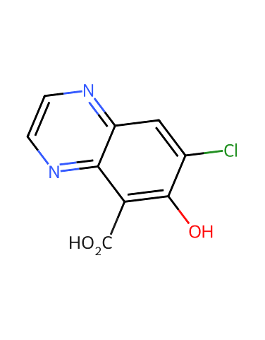 O=C(O)c1c(O)c(Cl)cc2nccnc12